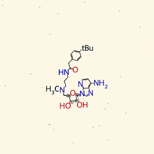 CN(CCCNC(=O)Cc1ccc(C(C)(C)C)cc1)C[C@H]1O[C@@H](n2cnc3c(N)ccnc32)[C@H](O)[C@@H]1O